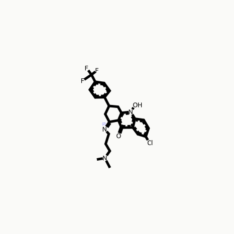 CN(C)CCC/N=C1/CC(c2ccc(C(F)(F)F)cc2)Cc2c1c(=O)c1cc(Cl)ccc1n2O